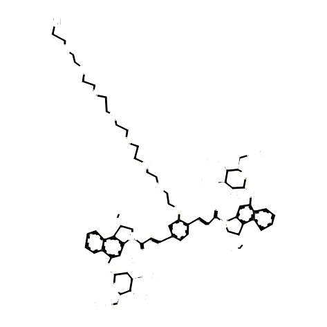 CC(=O)OC[C@H]1O[C@@H](Oc2cc3c(c4ccccc24)[C@H](CCl)CN3C(=O)/C=C/c2ccc(/C=C/C(=O)N3C[C@@H](CCl)c4c3cc(O[C@@H]3O[C@H](COC(C)=O)[C@H](OC(C)=O)[C@H](OC(C)=O)[C@H]3OC(C)=O)c3ccccc43)c(OCCOCCOCCOCCOCCOCCOCCOCCN)c2)[C@H](OC(C)=O)[C@@H](OC(C)=O)[C@H]1OC(C)=O